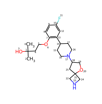 CC(C)(O)CCOc1ccc(F)cc1C1CCN(C2COC3(CNC3)C2)CC1